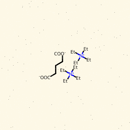 CC[N+](CC)(CC)CC.CC[N+](CC)(CC)CC.O=C([O-])CCCC(=O)[O-]